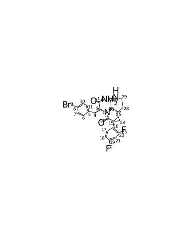 NC(=O)[C@H](Cc1ccc(Br)cc1)N(C(=O)C1(c2ccc(F)cc2F)CC1)[C@@H]1CCCNC1